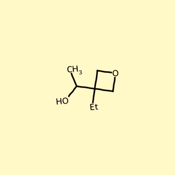 CCC1(C(C)O)COC1